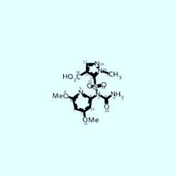 COc1cc(OC)nc(N(C(N)=O)S(=O)(=O)c2c(C(=O)O)cnn2C)c1